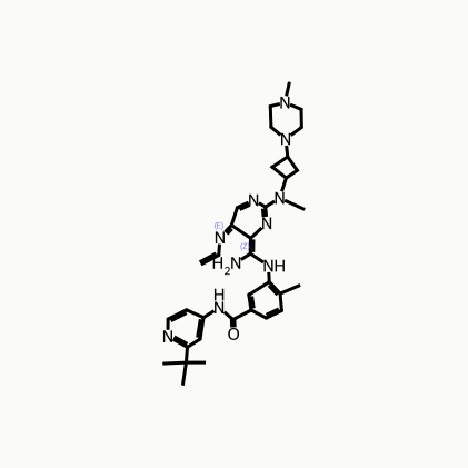 C=C/N=C1/C=NC(N(C)C2CC(N3CCN(C)CC3)C2)=N/C1=C(/N)Nc1cc(C(=O)Nc2ccnc(C(C)(C)C)c2)ccc1C